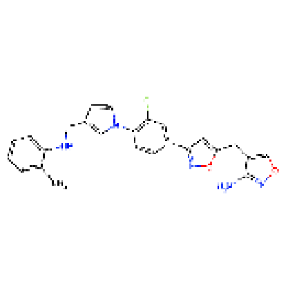 Cc1ccccc1NCc1ccn(-c2ccc(-c3cc(Cc4conc4N)on3)cc2F)c1